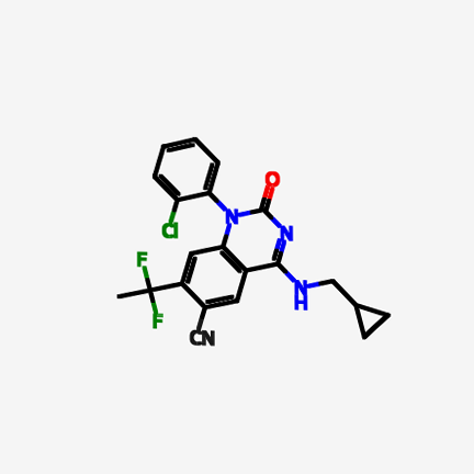 CC(F)(F)c1cc2c(cc1C#N)c(NCC1CC1)nc(=O)n2-c1ccccc1Cl